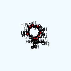 COC(C(=O)O)C1NC(=O)C(CCCCN)NC(=O)C(CC(=O)O)NC(=O)C(C)NC(=O)CN(C)C(=O)C(NC(=O)C(CC(N)=O)NC(=O)C(CCC(=O)O)NC(=O)C(Cc2c[nH]c3ccccc23)NC(=O)CCCCCCC(C)C)C(C)OC(=O)C(C(C)C)NC(=O)C(C(C)CC(=O)O)NC(=O)C(CC(N)=O)NC(=O)CNC1=O